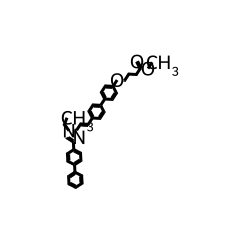 CCn1cc(-c2ccc(-c3ccccc3)cc2)nc1C=Cc1ccc(-c2ccc(OCCCC(=O)OC)cc2)cc1